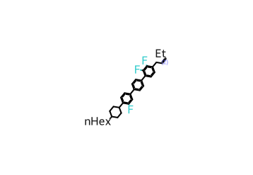 CC/C=C\Cc1ccc(-c2ccc(-c3ccc(C4CCC(CCCCCC)CC4)c(F)c3)cc2)c(F)c1F